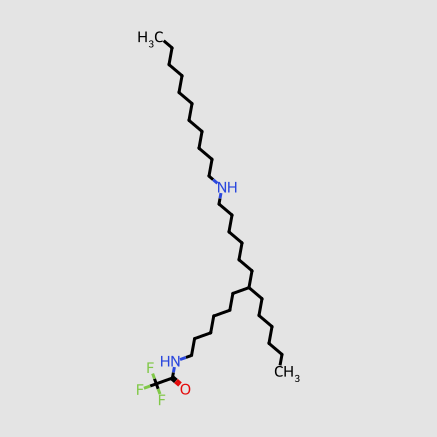 CCCCCCCCCCCNCCCCCCC(CCCCCC)CCCCCCNC(=O)C(F)(F)F